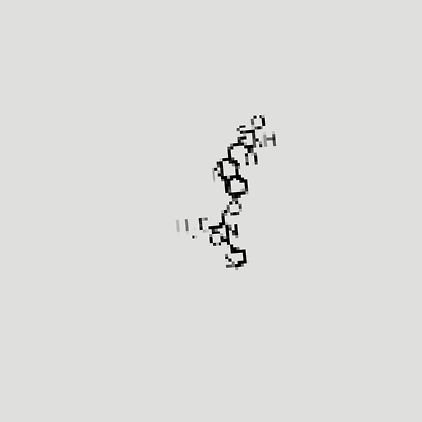 Cc1oc(-c2cccs2)nc1COc1ccc2cc(CC3SC(=O)NC3=O)cnc2c1